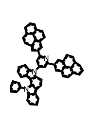 c1ccc(-n2c3ccccc3c3ccc4c(c5ccccc5n4-c4cc(-c5cc6ccc7cccc8ccc(c5)c6c78)nc(-c5cc6ccc7cccc8ccc(c5)c6c78)c4)c32)cc1